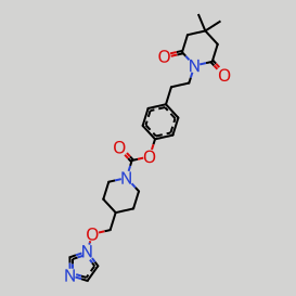 CC1(C)CC(=O)N(CCc2ccc(OC(=O)N3CCC(COn4ccnc4)CC3)cc2)C(=O)C1